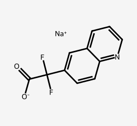 O=C([O-])C(F)(F)c1ccc2ncccc2c1.[Na+]